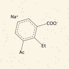 CCc1c(C(C)=O)cccc1C(=O)[O-].[Na+]